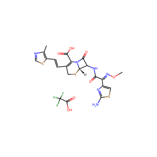 CON=C(C(=O)NC1C(=O)N2C(C(=O)O)=C(C=Cc3scnc3C)CS[C@@H]12)c1csc(N)n1.O=C(O)C(F)(F)F